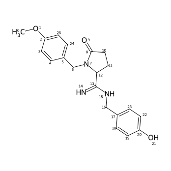 COc1ccc(CN2C(=O)CCC2C(=N)NCc2ccc(O)cc2)cc1